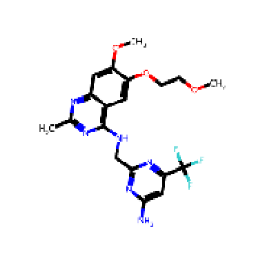 COCCOc1cc2c(NCc3nc(N)cc(C(F)(F)F)n3)nc(C)nc2cc1OC